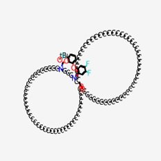 CC(C)(C)OC(=O)N1CCCCCCCCCCCCCCCCCCCCCCCCCCCCCCCCCCCCCCCCC2(CCCCCCCCCCCCCCCCCCCCCCCCCCCCCCCCCCCCCCCCCCCCCC23OCCO3)CN(c2cc(F)c(F)cc2Oc2cccc(F)c2)CCC1